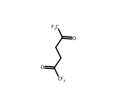 O=C(CCC(=O)C(F)(F)F)C(F)(F)F